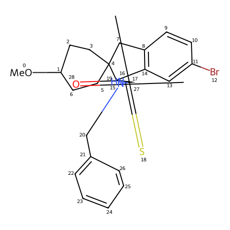 COC1CCC2(CC1)Cc1ccc(Br)cc1C21NC(=S)N(Cc2ccccc2)C1=O